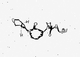 CC(C)(C)OC(=O)Nc1cccn(C2[C@H]3COC[C@@H]23)c1=O